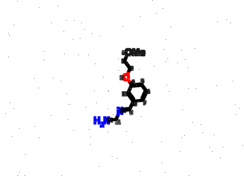 COCCOc1cccc(/C=N/CN)c1